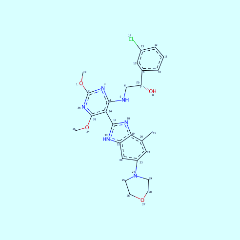 COc1nc(NC[C@@H](O)c2cccc(Cl)c2)c(-c2nc3c(C)cc(N4CCOCC4)cc3[nH]2)c(OC)n1